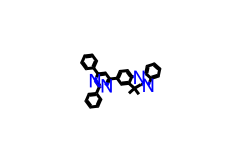 CC1(C)c2cc(-c3cc(-c4ccccc4)nc(-c4ccccc4)n3)ccc2-n2c1nc1ccccc12